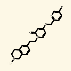 CN1CCc2cc(CCn3ccc(OCc4ccc(Cl)cn4)cc3=O)ccc2C1